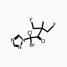 CC(CF)(CF)C(=O)C(Cl)(Br)n1cncn1